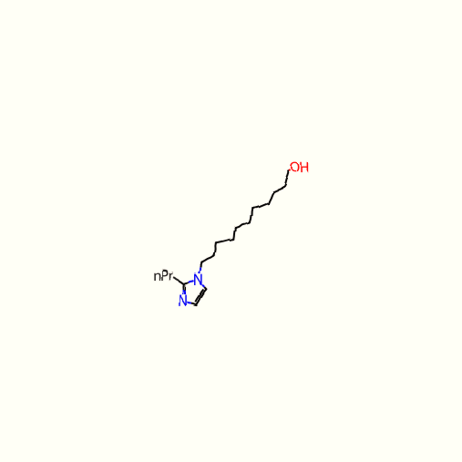 [CH2]CCc1nccn1CCCCCCCCCCCO